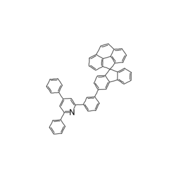 c1ccc(-c2cc(-c3ccccc3)nc(-c3cccc(-c4ccc5c(c4)-c4ccccc4C54c5cccc6ccc7cccc4c7c56)c3)c2)cc1